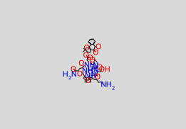 CC(C)CC(NC(=O)C(CCCCN)NC(=O)C(CO)NC(=O)N1CCOCC1)C(=O)NC(CCC(N)=O)C(=O)NCCC(=O)OC1CC2=C(OC1(C)C)c1ccccc1C(=O)C2=O